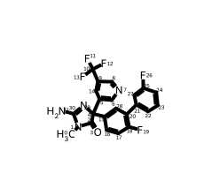 CN1C(=O)C(c2cncc(C(F)(F)F)c2)(c2ccc(F)c(-c3cccc(F)c3)c2)N=C1N